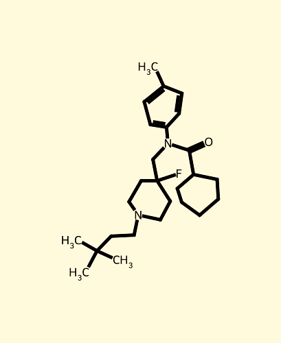 Cc1ccc(N(CC2(F)CCN(CCC(C)(C)C)CC2)C(=O)C2CCCCC2)cc1